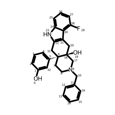 Oc1cccc([C@@]23CCN(Cc4ccccc4)C[C@@]2(O)Cc2c([nH]c4cccc(F)c24)C3)c1